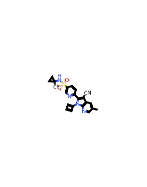 Cc1cnc2c(c1)c(C#N)c(-c1ccc(S(=O)(=O)NC3(C(F)(F)F)CC3)cn1)n2C1=CC=C1